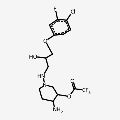 NC1CCN(NCC(O)COc2ccc(Cl)c(F)c2)CC1OC(=O)C(F)(F)F